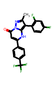 Cc1nn2c(=O)cc(-c3ccc(C(F)(F)F)cc3)[nH]c2c1-c1ccc(F)cc1F